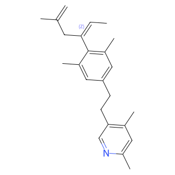 C=C(C)C/C(=C/C)c1c(C)cc(CCc2cnc(C)cc2C)cc1C